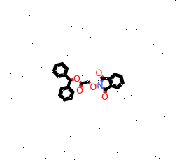 O=C(CON1C(=O)c2ccccc2C1=O)OC(c1ccccc1)c1ccccc1